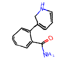 NC(=O)c1ccccc1C1=CC=CNC1